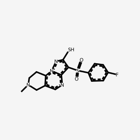 CN1CCc2c(cnc3c(S(=O)(=O)c4ccc(F)cc4)c(S)nn23)C1